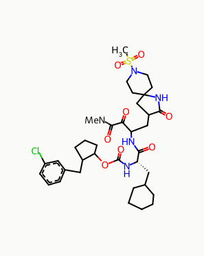 CNC(=O)C(=O)C(CC1CC2(CCN(S(C)(=O)=O)CC2)NC1=O)NC(=O)[C@H](CC1CCCCC1)NC(=O)OC1CCCC1Cc1cccc(Cl)c1